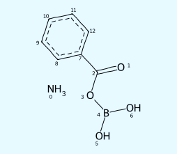 N.O=C(OB(O)O)c1ccccc1